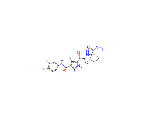 Cc1cc(NC(=O)c2c(C)c(C(=O)C(=O)NC3(C(N)=O)CCCC3)n(C)c2C)ccc1F